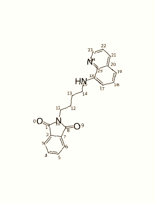 O=C1c2ccccc2C(=O)N1CCCCNc1cccc2cccnc12